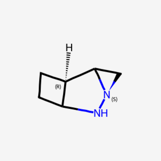 C1C[C@@H]2C1N[N@]1CC21